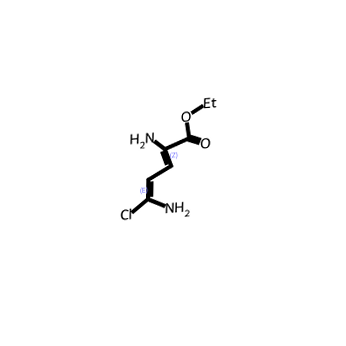 CCOC(=O)/C(N)=C/C=C(\N)Cl